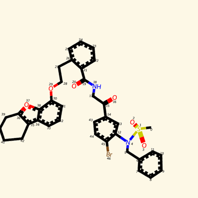 CS(=O)(=O)N(Cc1ccccc1)c1cc(C(=O)CNC(=O)c2ccccc2CCOc2cccc3c4c(oc23)CCCC4)ccc1Br